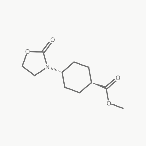 COC(=O)[C@H]1CC[C@H](N2CCOC2=O)CC1